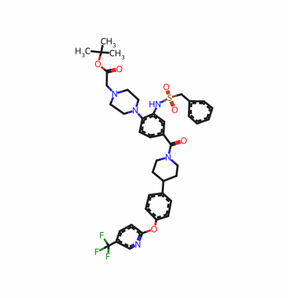 CC(C)(C)OC(=O)CN1CCN(c2ccc(C(=O)N3CCC(c4ccc(Oc5ccc(C(F)(F)F)cn5)cc4)CC3)cc2NS(=O)(=O)Cc2ccccc2)CC1